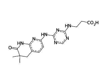 CC1(C)Cc2ccc(Nc3ncnc(NCCC(=O)O)n3)nc2NC1=O